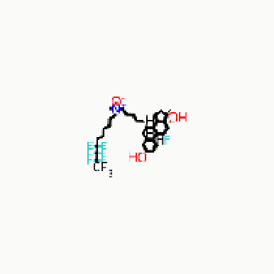 C[C@]1(O)CC[C@H]2[C@@H]3[C@@H](CCCCC[N+](C)([O-])CCCCCCC(F)(F)C(F)(F)C(F)(F)C(F)(F)F)Cc4cc(O)ccc4[C@H]3[C@@H](F)C[C@@]21C